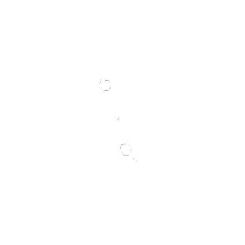 O=[N+]([O-])c1ccc(CCCNCC(O)COc2ccccc2)cc1